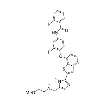 COCCNCc1cnc(-c2cc3nccc(Oc4ccc(NC(=O)c5ccccc5F)cc4F)c3s2)n1C